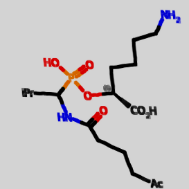 CC(=O)CCCC(=O)NC(C(C)C)P(=O)(O)O[C@@H](CCCCN)C(=O)O